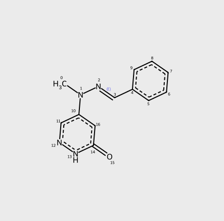 CN(/N=C/c1ccccc1)c1cn[nH]c(=O)c1